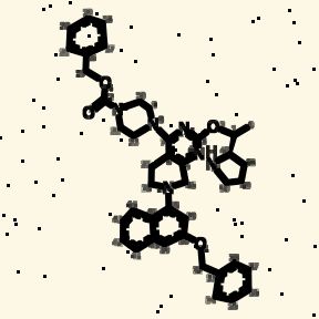 CC(Oc1nc2c(c(N3CCN(C(=O)OCc4ccccc4)CC3)n1)CCN(c1cc(OCc3ccccc3)cc3ccccc13)C2)[C@H]1CCCN1